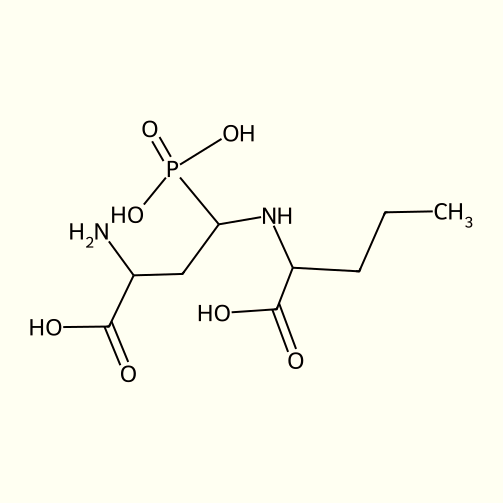 CCCC(NC(CC(N)C(=O)O)P(=O)(O)O)C(=O)O